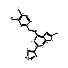 Cc1cc2c(NCc3ccc(Cl)c(Cl)c3)nc(-c3nc[nH]n3)nc2s1